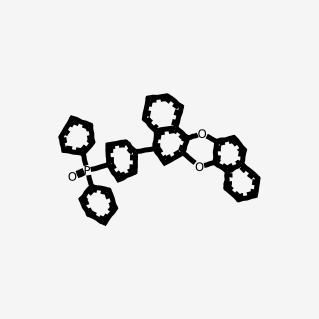 O=P(c1ccccc1)(c1ccccc1)c1ccc(-c2cc3c(c4ccccc24)Oc2ccc4ccccc4c2O3)cc1